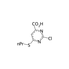 CCCSc1cc(C(=O)O)nc(Cl)n1